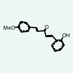 COc1ccc(C=CC(=O)C=Cc2ccccc2O)cc1